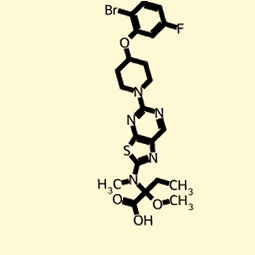 CCC(OC)(C(=O)O)N(C)c1nc2cnc(N3CCC(Oc4cc(F)ccc4Br)CC3)nc2s1